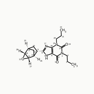 CCCn1c(=O)c2[nH]c([C@H]3C[C@H]4C[C@@H]3[C@@H]3O[C@H]43)nc2n(CCC)c1=O